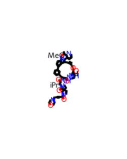 CO[C@@H](C)c1ncccc1-c1c2c3cc(ccc3n1C)-c1cccc(c1)C[C@H](NC(=O)C(C(C)C)N1CCC3(CCN(C(=O)C#CCN4CCOCC4)C3)C1=O)C(=O)N1CCC[C@H](N1)C(=O)OCC(C)(C)C2